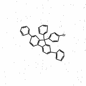 Brc1ccc(C2(c3ccccc3)c3cc(-c4ccccc4)ccc3-c3ccc(-c4ccccc4)cc32)cc1